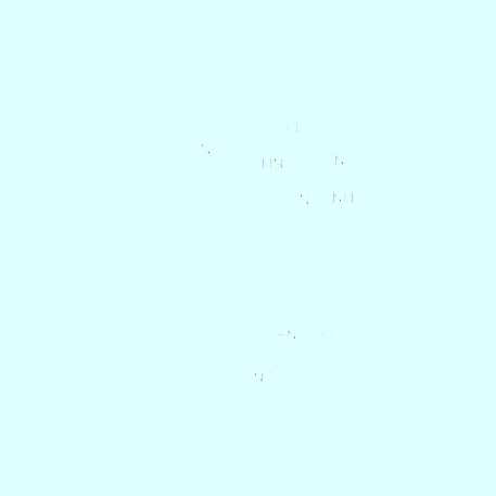 CN(C)C(C)(C)CNC(=O)COc1ccc(-c2nc3c(NCC4CCN(Cc5ccccc5)CC4)c(Cl)cnc3[nH]2)cc1